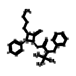 CCCCN1C(=O)[C@H](CC(=O)N(Cc2ccccc2)C(C)(C)C)[C@@H]1c1ccccc1